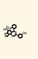 O=[N+]([O-])c1cc2c(-c3ccccc3Cl)nc(-c3cccc(O)c3)cnc2c2cnnc12